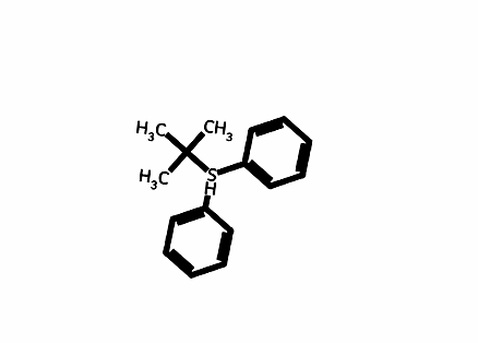 CC(C)(C)[SH](c1ccccc1)c1ccccc1